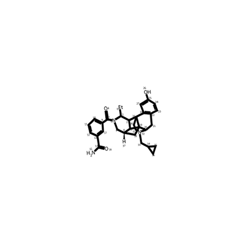 CCC1C2C3[C@@H](CN1C(=O)c1cccc(C(N)=O)c1)CC31C3Cc4ccc(O)cc4C21CCN3CC1CC1